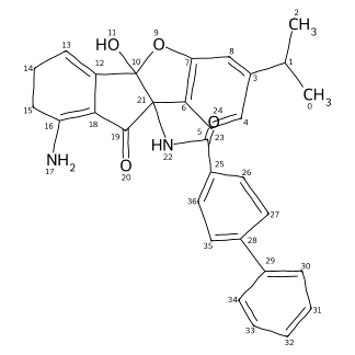 CC(C)c1ccc2c(c1)OC1(O)C3=CCCC(N)=C3C(=O)C21NC(=O)c1ccc(-c2ccccc2)cc1